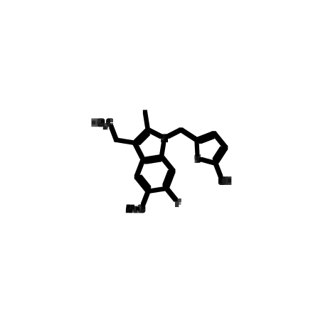 COc1cc2c(CC(=O)O)c(C)n(Cc3ccc(O)s3)c2cc1F